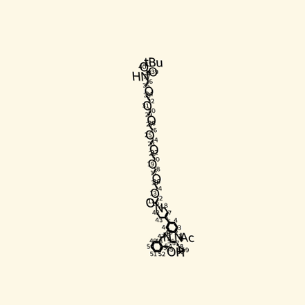 CC(=O)N1c2ccc(C3=CCN(C(=O)COCCOCCOCCOCCOCCOCCOCCOCCNC(=O)OC(C)(C)C)CC3)cc2N(Cc2ccccc2CO)C[C@@H]1C1CC1